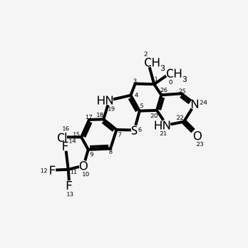 CC1(C)CC2=C(Sc3cc(OC(F)(F)F)c(Cl)cc3N2)c2[nH]c(=O)ncc21